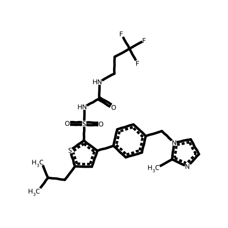 Cc1nccn1Cc1ccc(-c2cc(CC(C)C)sc2S(=O)(=O)NC(=O)NCCC(F)(F)F)cc1